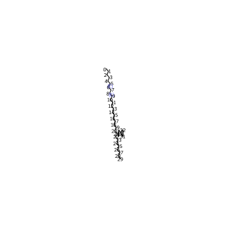 CCCCC/C=C/C/C=C/CCCCCCCCCCCC(CCCCCCCC)N(C)C